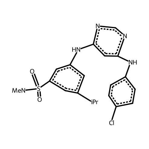 CNS(=O)(=O)c1cc(Nc2cc(Nc3ccc(Cl)cc3)ncn2)cc(C(C)C)c1